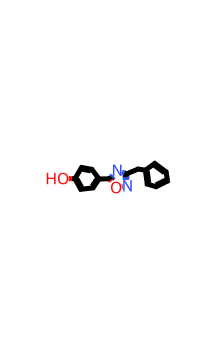 Oc1ccc(-c2nc(Cc3ccccc3)no2)cc1